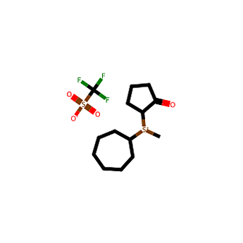 C[S+](C1CCCCCC1)C1CCCC1=O.O=S(=O)([O-])C(F)(F)F